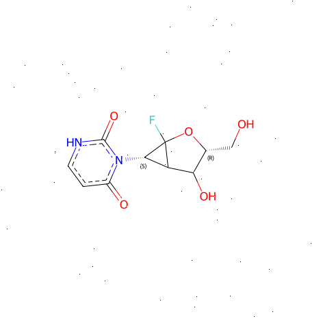 O=c1cc[nH]c(=O)n1[C@H]1C2C(O)[C@@H](CO)OC21F